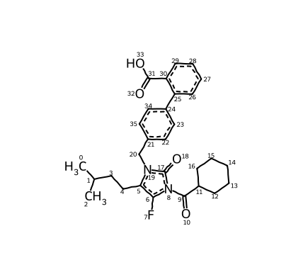 CC(C)CCc1c(F)n(C(=O)C2CCCCC2)c(=O)n1Cc1ccc(-c2ccccc2C(=O)O)cc1